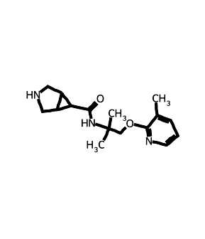 Cc1cccnc1OCC(C)(C)NC(=O)C1C2CNCC21